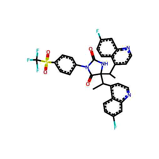 CC(c1ccnc2cc(F)ccc12)C1(C(C)c2ccnc3cc(F)ccc23)NC(=O)N(c2ccc(S(=O)(=O)C(F)(F)F)cc2)C1=O